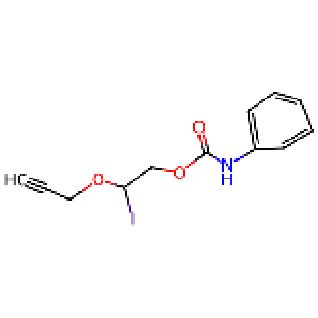 C#CCOC(I)COC(=O)Nc1ccccc1